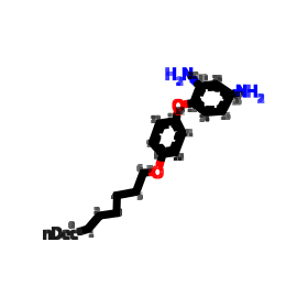 CCCCCCCCCCCCCCCCOc1ccc(Oc2ccc(N)cc2N)cc1